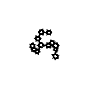 c1ccc(-c2cccc(-c3cccc(-c4cc(-c5cccc6oc7ccccc7c56)nc(-c5ccc6c(ccc7ccc8nn(-c9ccccc9)nc8c76)c5)n4)c3)c2)cc1